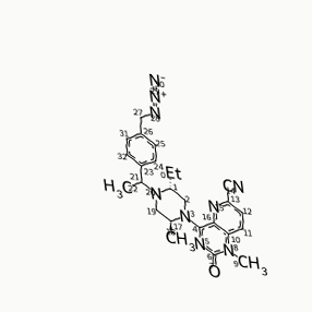 CC[C@@H]1CN(c2nc(=O)n(C)c3ccc(C#N)nc23)[C@@H](C)CN1C(C)c1ccc(CN=[N+]=[N-])cc1